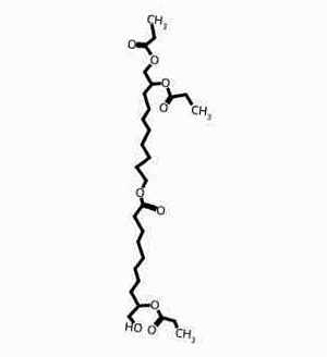 CCC(=O)OCC(CCCCCCCCOC(=O)CCCCCCCC(CO)OC(=O)CC)OC(=O)CC